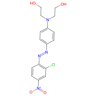 O=[N+]([O-])c1ccc(N=Nc2ccc(N(CCO)CCO)cc2)c(Cl)c1